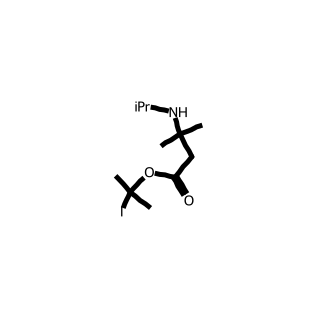 CC(C)NC(C)(C)CC(=O)OC(C)(C)I